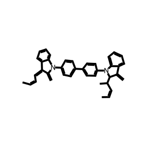 C=C1c2ccccc2N(c2ccc(-c3ccc(-n4c(=C)/c(=C\C=C/C)c5ccccc54)cc3)cc2)C1C(C)/C=C\C